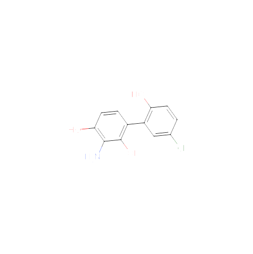 Nc1c(O)ccc(-c2cc(Cl)ccc2O)c1O